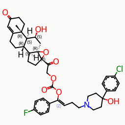 C[C@]12CCC(=O)C=C1CC[C@@H]1[C@@H]2[C@@H](O)C[C@]23O[C@]2(C(=O)COC(=O)O/C(=C\CCN2CCC(O)(c4ccc(Cl)cc4)CC2)c2ccc(F)cc2)CC[C@@H]13